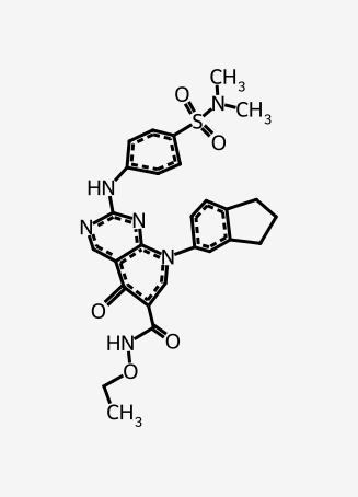 CCONC(=O)c1cn(-c2ccc3c(c2)CCC3)c2nc(Nc3ccc(S(=O)(=O)N(C)C)cc3)ncc2c1=O